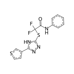 O=C(Nc1ccccc1)C(F)(F)Sc1nnc(-c2ccsc2)[nH]1